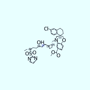 CC[C@H](CC[C@H](O)/C=C/[C@@H]1CC[C@H]1CN1C[C@@]2(CCCc3cc(Cl)ccc32)COc2ccc(C(=O)OC)cc21)S(=O)(=O)c1ncccn1